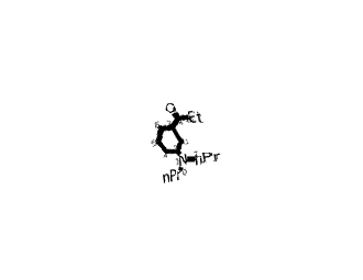 CCCN(CCC)C1CCCC(C(=O)CC)C1